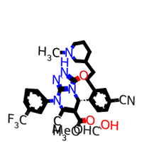 COC(=O)C1=C(C)N(c2cccc(C(F)(F)F)c2)c2n[nH]c(=O)n2[C@@H]1c1ccc(C#N)cc1CCC1CCCN(C)C1.O=CO